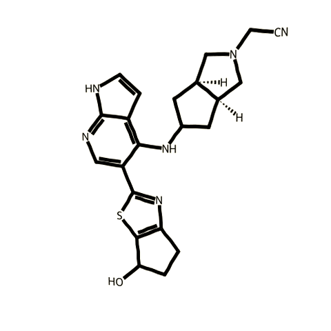 N#CCN1C[C@H]2CC(Nc3c(-c4nc5c(s4)C(O)CC5)cnc4[nH]ccc34)C[C@H]2C1